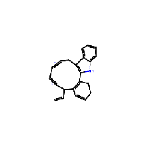 C=CC1/C=C\C=C/Cc2c([nH]c3ccccc23)C2=C1C=CCC2